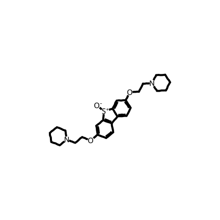 [O-][s+]1c2cc(OCCN3CCCCC3)ccc2c2ccc(OCCN3CCCCC3)cc21